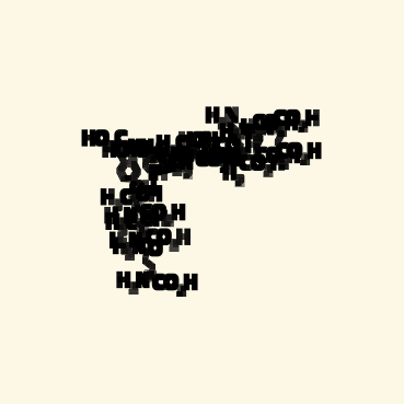 CC(C)C[C@H](N)C(=O)O.CC(C)[C@H](N)C(=O)O.C[C@@H](O)[C@H](N)C(=O)O.C[C@@H](O)[C@H](N)C(=O)O.C[C@@H](O)[C@H](N)C(=O)O.C[C@H](N)C(=O)O.NC(=O)CC[C@H](N)C(=O)O.NCCCC[C@H](N)C(=O)O.N[C@@H](CCC(=O)O)C(=O)O.N[C@@H](CCC(=O)O)C(=O)O.N[C@@H](Cc1ccc(O)cc1)C(=O)O